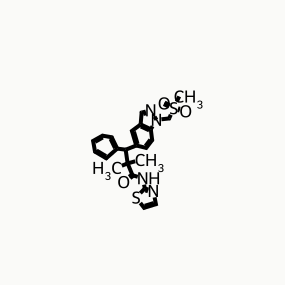 CC(C)(C(=O)Nc1nccs1)C(c1ccccc1)c1ccc2c(cnn2CS(C)(=O)=O)c1